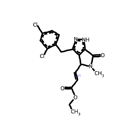 CCOC(=O)/C=C/C1c2c(Cc3ccc(Cl)cc3Cl)n[nH]c2C(=O)N1C